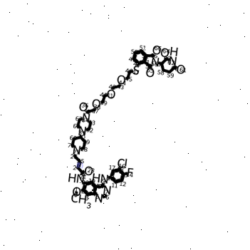 COc1cc2ncnc(Nc3ccc(F)c(Cl)c3)c2cc1NC(=O)/C=C/CN1CCC(N2CCN(C(=O)COCCOCCOCCSc3cccc4c3C(=O)N(C3CCC(=O)NC3=O)C4=O)CC2)CC1